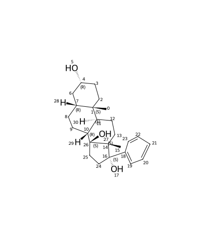 C[C@]12CC[C@@H](O)C[C@H]1CC[C@@H]1[C@@H]2CC[C@]2(C)[C@@](O)(c3ccccc3)CC[C@]12O